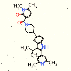 Cc1cc(-c2[nH]c3ccc(C4CCN(C(=O)c5ccc(C)n(C)c5=O)CC4)cc3c2C(C)C)cc(C)n1